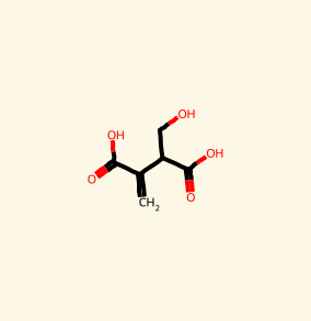 C=C(C(=O)O)C(CO)C(=O)O